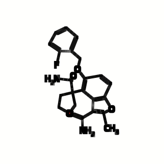 Cc1oc2ccc(OCc3ccccc3F)c(C3(C(N)=O)CCOC3)c2c1C(N)=O